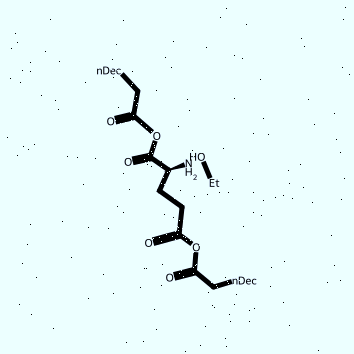 CCCCCCCCCCCC(=O)OC(=O)CC[C@H](N)C(=O)OC(=O)CCCCCCCCCCC.CCO